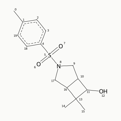 Cc1ccc(S(=O)(=O)N2CC3C(O)C(C)(C)C3C2)cc1